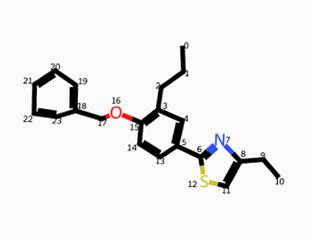 CCCc1cc(-c2nc(CC)cs2)ccc1OCc1ccccc1